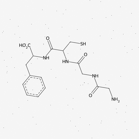 NCC(=O)NCC(=O)NC(CS)C(=O)NC(Cc1ccccc1)C(=O)O